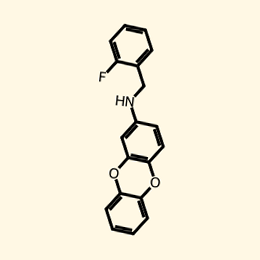 Fc1ccccc1CNc1ccc2c(c1)Oc1ccccc1O2